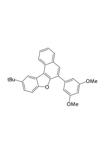 COc1cc(OC)cc(-c2cc3ccccc3c3c2oc2ccc(C(C)(C)C)cc23)c1